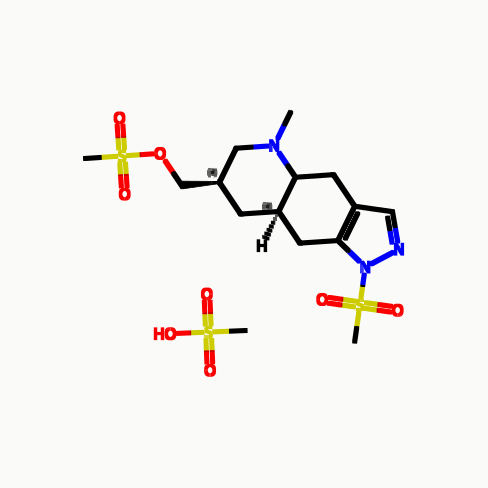 CN1C[C@H](COS(C)(=O)=O)C[C@@H]2Cc3c(cnn3S(C)(=O)=O)CC21.CS(=O)(=O)O